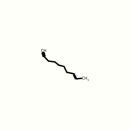 C#CCCCCC/C=C/C